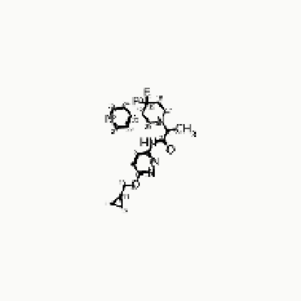 CC(C(=O)Nc1ccc(OCC2CC2)nn1)N1CCC(F)(F)[C@@H](c2ccncc2)C1